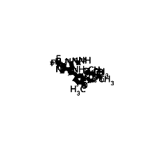 COc1ccc(-c2cc(-c3cnn(C(F)F)c3)c(/C(N)=N\C=N)[nH]2)cc1N1CCN(C(C)=O)C(C)(C)C1=O